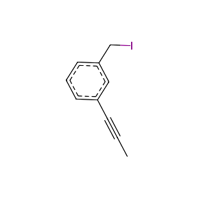 CC#Cc1cccc(CI)c1